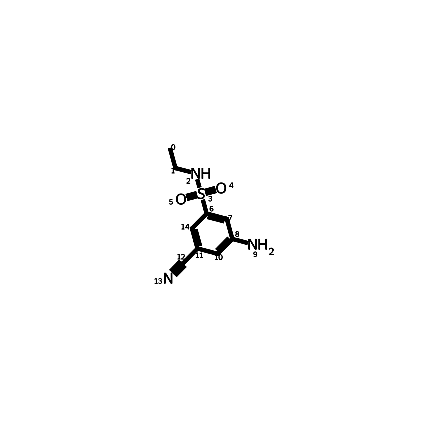 CCNS(=O)(=O)c1cc(N)cc(C#N)c1